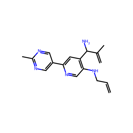 C=CCNc1cnc(-c2cnc(C)nc2)cc1C(N)C(=C)C